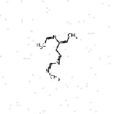 C/C=N\C(=C/C)C/C=N\C=N/C